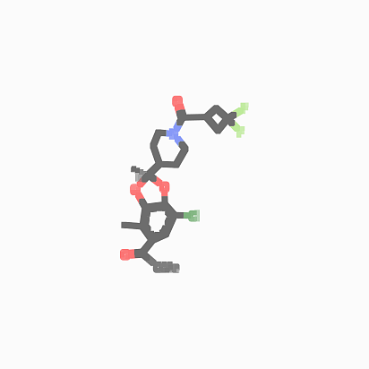 COC(=O)c1cc(Cl)c2c(c1C)O[C@@](C)(C1CCN(C(=O)C3CC(F)(F)C3)CC1)O2